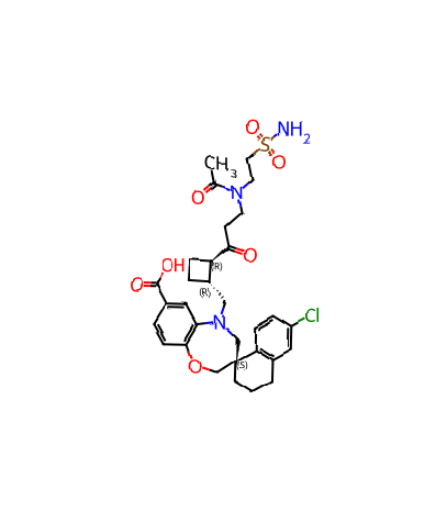 CC(=O)N(CCC(=O)[C@@H]1CC[C@H]1CN1C[C@@]2(CCCc3cc(Cl)ccc32)COc2ccc(C(=O)O)cc21)CCS(N)(=O)=O